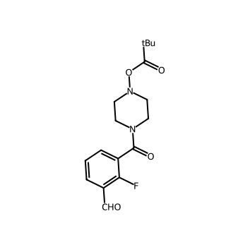 CC(C)(C)C(=O)ON1CCN(C(=O)c2cccc(C=O)c2F)CC1